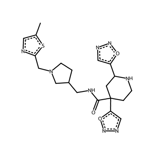 Cc1cnc(CN2CCC(CNC(=O)C3(c4cnno4)CCNC(c4cnno4)C3)C2)s1